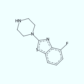 Fc1cccc2sc(N3CCNCC3)nc12